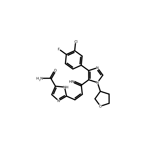 N=C(/C=C\c1ncc(C(N)=O)[nH]1)c1c(-c2ccc(F)c(Cl)c2)ncn1C1CCOC1